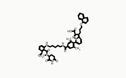 Cc1cc(C(=O)NCCCCCNc2cccc(C=O)c2C(=O)N(C)C2CCC(=O)NC2=O)cc(C)c1-c1cccc2c(CCCOc3cccc4ccccc34)c(C(=O)O)nn12